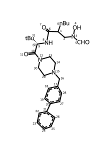 CCCCC(CN(O)C=O)C(=O)N[C@H](C(=O)N1CCN(Cc2ccc(-c3ccccc3)cc2)CC1)C(C)(C)C